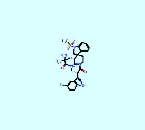 CC(C)(N)C(=O)NC[C@H](C(=O)N1CCC2(CC1)CN(S(C)(=O)=O)c1ccccc12)c1c[nH]c2ccc(F)cc12